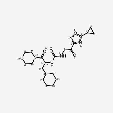 O=C(NCC(=O)c1noc(C2CC2)n1)O[C@@H](CC1CCCCC1)C(=O)N1CCOCC1